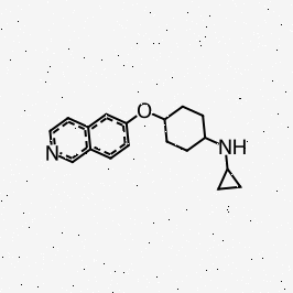 c1cc2cc(OC3CCC(NC4CC4)CC3)ccc2cn1